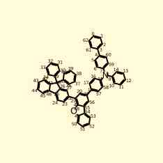 c1ccc(-c2ccc(N(c3ccccc3)c3ccc(-c4cc(-c5ccc6c(c5)C(c5ccccc5)(c5ccccc5)c5ccccc5-6)c5oc6ccccc6c5c4)cc3)cc2)cc1